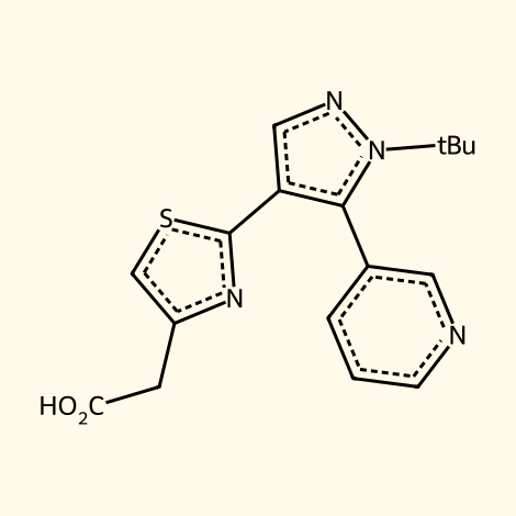 CC(C)(C)n1ncc(-c2nc(CC(=O)O)cs2)c1-c1cccnc1